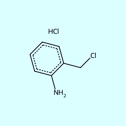 Cl.Nc1ccccc1CCl